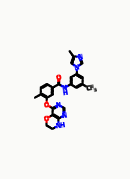 Cc1cn(-c2cc(NC(=O)c3ccc(C)c(Oc4ncnc5c4OCCN5)c3)cc(C(F)(F)F)c2)cn1